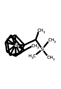 CC([C]12[CH]3[CH]4[CH]5[CH]1[Fe]45321678[CH]2[CH]1[CH]6[C]7(C)[CH]28)[Si](C)(C)C